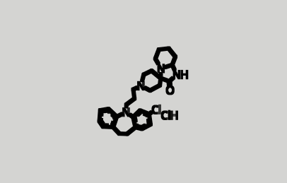 Cl.O=C1NC2CCCCN2C12CCN(CCCN1c3ccccc3CCc3ccc(Cl)cc31)CC2